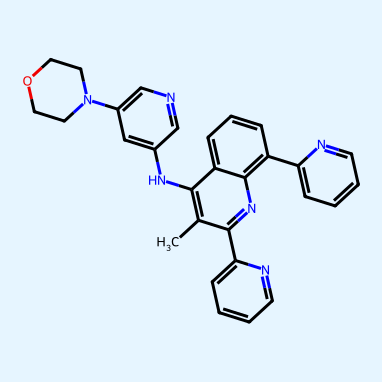 Cc1c(-c2ccccn2)nc2c(-c3ccccn3)cccc2c1Nc1cncc(N2CCOCC2)c1